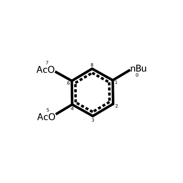 CCCCc1ccc(OC(C)=O)c(OC(C)=O)c1